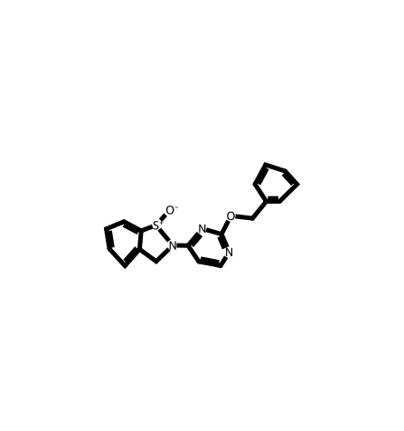 [O-][S+]1c2ccccc2CN1c1ccnc(OCc2ccccc2)n1